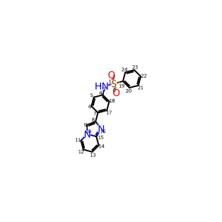 O=S(=O)(Nc1ccc(-c2cn3ccccc3n2)cc1)c1ccccc1